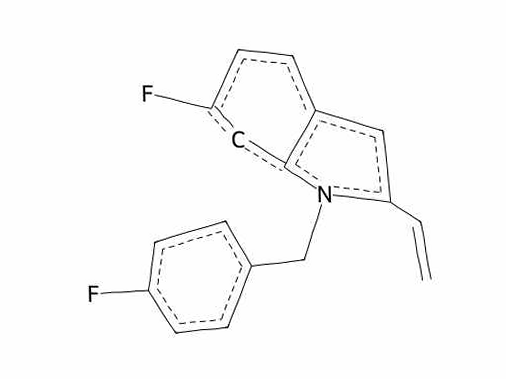 C=Cc1cc2ccc(F)cc2n1Cc1ccc(F)cc1